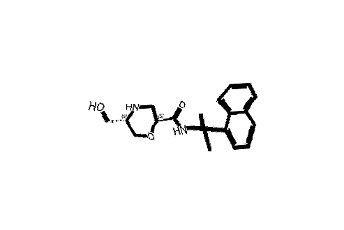 CC(C)(NC(=O)[C@@H]1CN[C@@H](CO)CO1)c1cccc2ccccc12